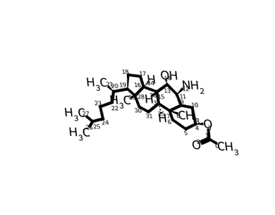 CC(=O)O[C@H]1CC[C@@]2(C)C(C1)[C@H](N)[C@@H](O)[C@H]1[C@@H]3CC[C@H]([C@H](C)CCCC(C)C)[C@@]3(C)CC[C@@H]12